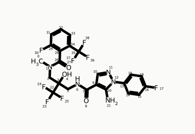 CN(CC(O)(CNC(=O)c1cnn(-c2ccc(F)cc2)c1N)C(F)(F)F)C(=O)c1c(F)cccc1C(F)(F)F